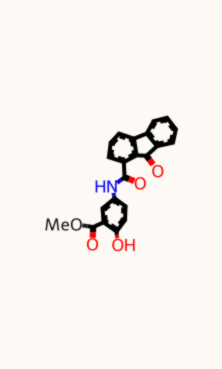 COC(=O)c1cc(NC(=O)c2cccc3c2C(=O)c2ccccc2-3)ccc1O